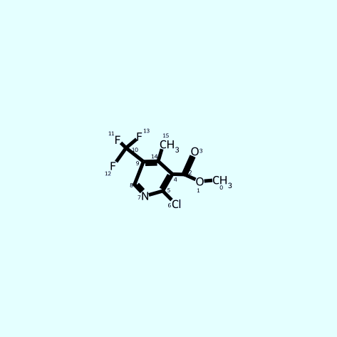 COC(=O)c1c(Cl)ncc(C(F)(F)F)c1C